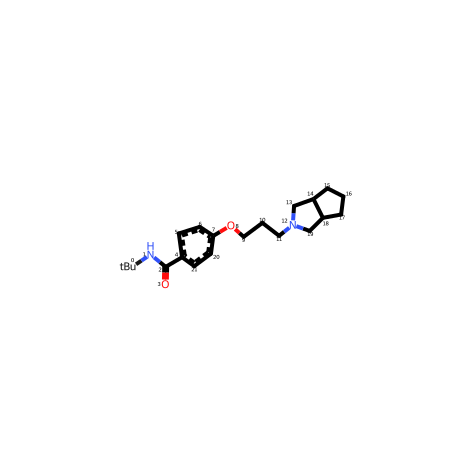 CC(C)(C)NC(=O)c1ccc(OCCCN2CC3CCCC3C2)cc1